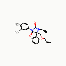 C#CCN1C(=O)N(c2ccc(C#N)c(C(F)(F)F)c2)C(=O)C1(COCC=C)c1ccccc1